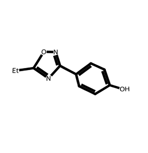 CCc1nc(-c2ccc(O)cc2)no1